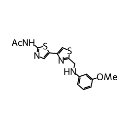 COc1cccc(NCc2nc(-c3cnc(NC(C)=O)s3)cs2)c1